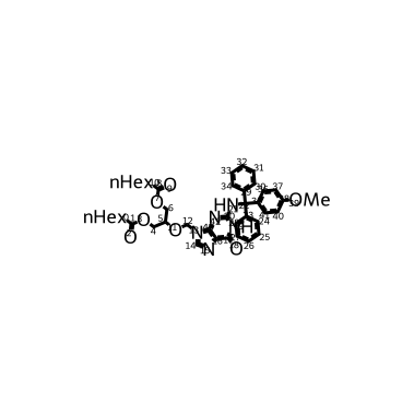 CCCCCCC(=O)OCC(COC(=O)CCCCCC)OCn1cnc2c(=O)[nH]c(NC(c3ccccc3)(c3ccccc3)c3ccc(OC)cc3)nc21